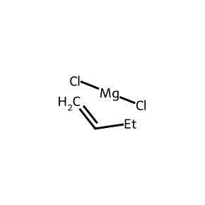 C=CCC.[Cl][Mg][Cl]